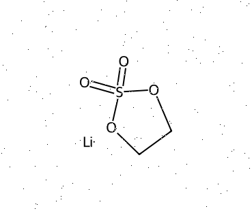 O=S1(=O)OCCO1.[Li]